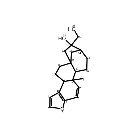 CC12C=Cc3occc3C1CCC13CC(CCC12)C(O)(CO)C3